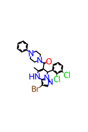 CC1=C(C(=O)N2CCN(c3ccccc3)CC2)C(c2cccc(Cl)c2Cl)n2ncc(Br)c2N1